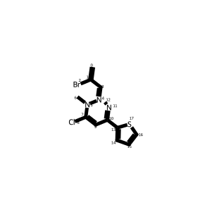 C=C(Br)/C=N\N(C)/C(Cl)=C\C(=N/C)c1cccs1